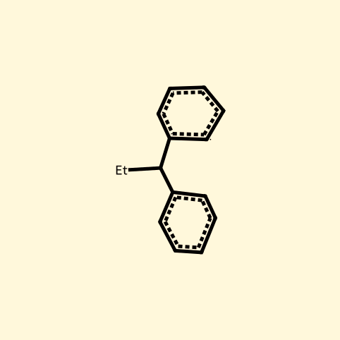 CCC(c1[c]cccc1)c1ccccc1